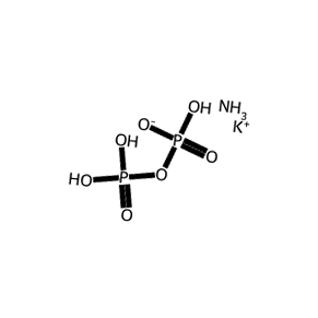 N.O=P([O-])(O)OP(=O)(O)O.[K+]